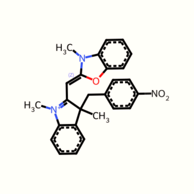 CN1/C(=C/C2=[N+](C)c3ccccc3C2(C)Cc2ccc([N+](=O)[O-])cc2)Oc2ccccc21